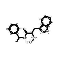 CC(NC(=O)C(Cc1n[nH]c2ccccc12)NC(=O)O)c1ccccc1